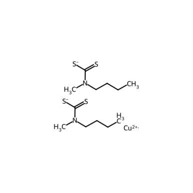 CCCCN(C)C(=S)[S-].CCCCN(C)C(=S)[S-].[Cu+2]